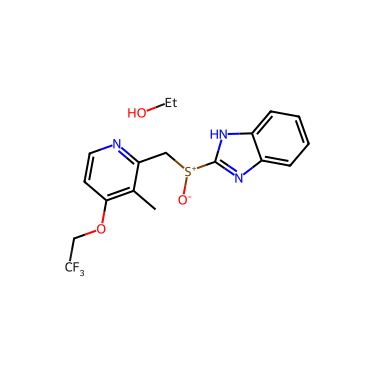 CCO.Cc1c(OCC(F)(F)F)ccnc1C[S+]([O-])c1nc2ccccc2[nH]1